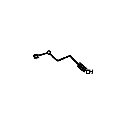 C#CCCO[CH]C